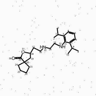 CC(C)c1cccc(C(C)C)c1NCCNCCC1CC2(CCCC2)C(=O)O1